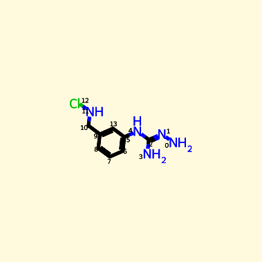 N/N=C(\N)Nc1cccc(CNCl)c1